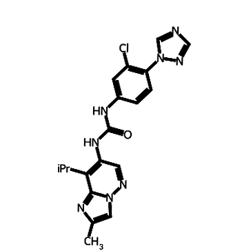 Cc1cn2ncc(NC(=O)Nc3ccc(-n4cncn4)c(Cl)c3)c(C(C)C)c2n1